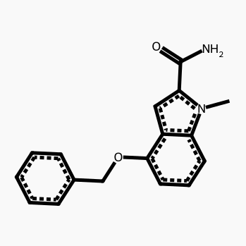 Cn1c(C(N)=O)cc2c(OCc3ccccc3)cccc21